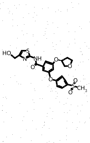 CS(=O)(=O)c1ccc(Oc2cc(O[C@H]3CCOC3)cc(C(=O)Nc3nc(CO)cs3)c2)cc1